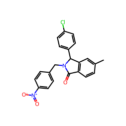 Cc1ccc2c(c1)C(c1ccc(Cl)cc1)N(Cc1ccc([N+](=O)[O-])cc1)C2=O